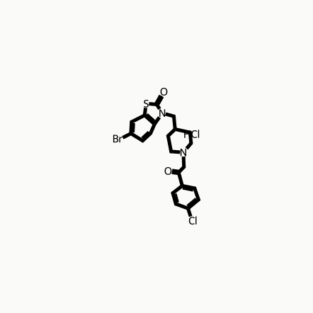 Cl.O=C(CN1CCC(Cn2c(=O)sc3cc(Br)ccc32)CC1)c1ccc(Cl)cc1